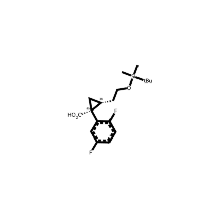 CC(C)(C)[Si](C)(C)OCC[C@H]1C[C@]1(C(=O)O)c1cc(F)ccc1F